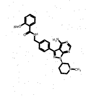 COc1ccccc1C(=O)NCc1ccc(-c2nn([C@@H]3CCCN(C)C3)c3ncnc(N)c23)cc1